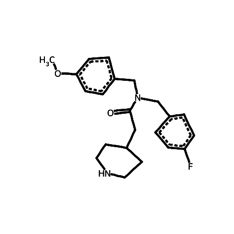 COc1ccc(CN(Cc2ccc(F)cc2)C(=O)CC2CCNCC2)cc1